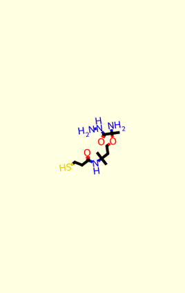 CC(C)(CCOC(C)(N)C(=O)NN)NC(=O)CCS